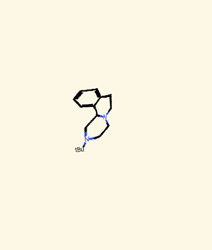 CC(C)(C)N1CCN2CCc3ccccc3C2C1